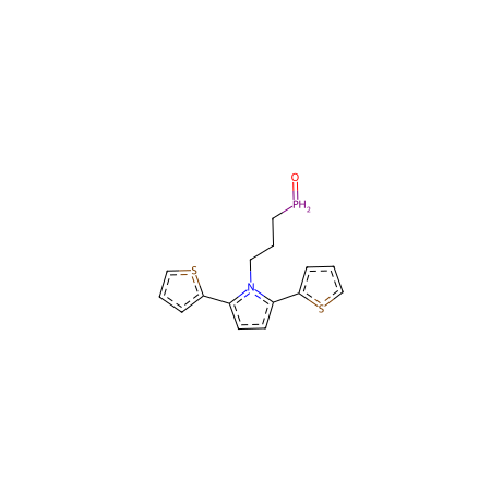 O=[PH2]CCCn1c(-c2cccs2)ccc1-c1cccs1